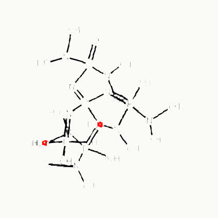 CN(C)P(=O)(N=P(N=P(C)(C)C)(N=P(C)(N(C)C)N(C)C)N=P(C)(N(C)C)N(C)C)N(C)C